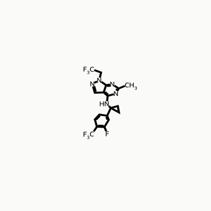 Cc1nc(NC2(c3ccc(C(F)(F)F)c(F)c3)CC2)c2cnn(CC(F)(F)F)c2n1